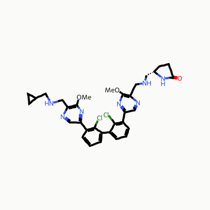 COc1nc(-c2cccc(-c3cccc(-c4cnc(CNC[C@@H]5CCC(=O)N5)c(OC)n4)c3Cl)c2Cl)cnc1CNCC1CC1